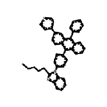 CCCCCc1nc2ccccc2n1-c1ccc(-c2c3ccccc3c(-c3ccccc3)c3cc(-c4ccncc4)ccc23)cc1